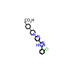 O=C(O)C[C@H]1CC[C@@H](C2CCN(c3ccc(-c4nnc(-c5ccccc5Cl)[nH]4)cn3)CC2)CC1